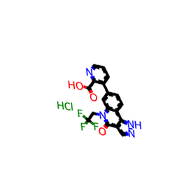 Cl.O=C(O)c1ncccc1-c1ccc2c3[nH]ncc3c(=O)n(CC(F)(F)F)c2c1